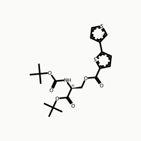 CC(C)(C)OC(=O)N[C@@H](COC(=O)c1ccc(-c2ccsc2)s1)C(=O)OC(C)(C)C